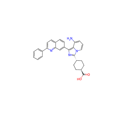 Nc1cccn2c1c(-c1ccc3ccc(-c4ccccc4)nc3c1)nc2[C@H]1CC[C@H](C(=O)O)CC1